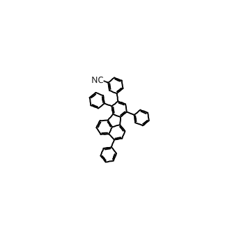 N#Cc1cccc(-c2cc(-c3ccccc3)c3c(c2-c2ccccc2)-c2cccc4c(-c5ccccc5)ccc-3c24)c1